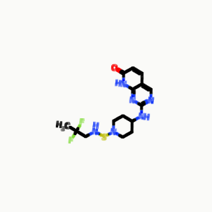 CC(F)(F)CNSN1CCC(Nc2ncc3ccc(=O)[nH]c3n2)CC1